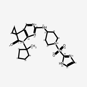 CC1(N2C(=O)C3(CC3)c3cnc(NC4CCN(S(=O)(=O)c5ncc[nH]5)CC4)nc32)CCCC1